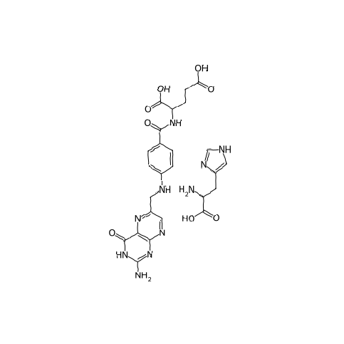 NC(Cc1c[nH]cn1)C(=O)O.Nc1nc2ncc(CNc3ccc(C(=O)NC(CCC(=O)O)C(=O)O)cc3)nc2c(=O)[nH]1